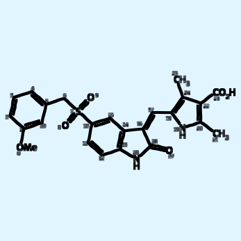 COc1cccc(CS(=O)(=O)c2ccc3c(c2)/C(=C/c2[nH]c(C)c(C(=O)O)c2C)C(=O)N3)c1